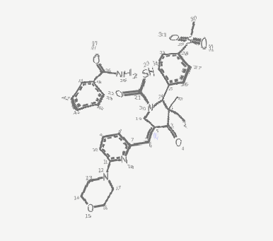 CC1(C)C(=O)/C(=C/c2cccc(N3CCOCC3)n2)CN(C(=O)S)C1c1ccc(S(C)(=O)=O)cc1.NC(=O)c1ccccc1